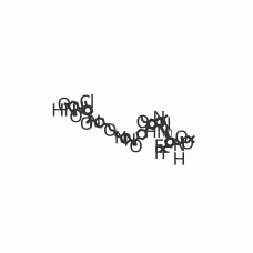 COc1cc2nc(C)nc(N[C@H](C)c3cc(NC(=O)OC(C)(C)C)cc(C(F)(F)F)c3)c2cc1C1CCC(C(=O)N2CCN(CCOCC3CCN(C(=O)c4ccc(Cl)c(N5CCC(=O)NC5=O)c4)CC3)CC2)CC1